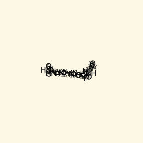 O=C1CCC(Nc2ccc(N3CCC(CCN4CCC(COc5cc(F)c6c(=O)[nH]c(CSC7CCOCC7)nc6c5)CC4)CC3)cc2)C(=O)N1